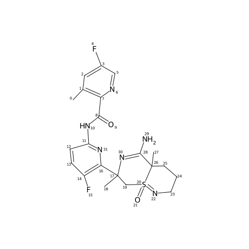 Cc1cc(F)cnc1C(=O)Nc1ccc(F)c(C2(C)CS3(=O)=NCCCC3(C)C(N)=N2)n1